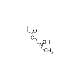 CCN(O)CCOC(=O)CI